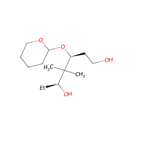 CC[C@H](O)C(C)(C)[C@H](CCO)OC1CCCCO1